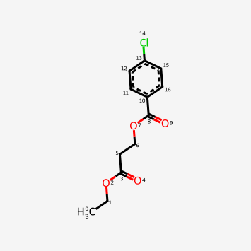 CCOC(=O)CCOC(=O)c1c[c]c(Cl)cc1